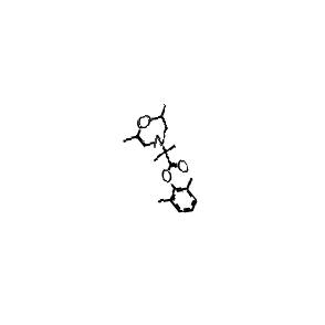 Cc1cccc(C)c1OC(=O)C(C)(C)N1CC(C)OC(C)C1